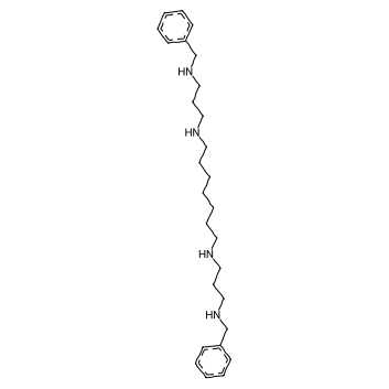 c1ccc(CNCCCNCCCCCCCNCCCNCc2ccccc2)cc1